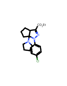 CCOC(=O)C1=NN(c2ccc(Cl)cc2)C2(N3CCCC3)CCCC12